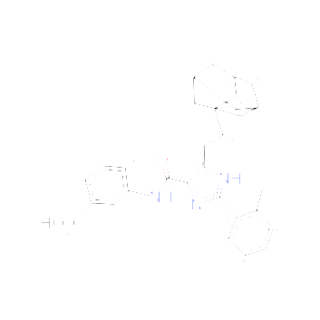 Cc1ccccc1-c1nc(C(=O)Nc2cccc(C(=O)O)c2)c(CCC23CC4CC(CC(C4)C2)C3)[nH]1